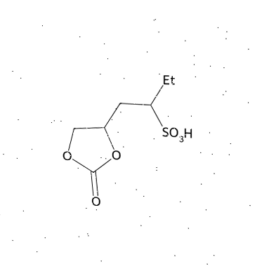 CCC(CC1COC(=O)O1)S(=O)(=O)O